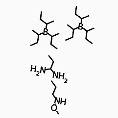 CCC(C)B(C(C)CC)C(C)CC.CCC(C)B(C(C)CC)C(C)CC.CCC(N)N.CCCNOC